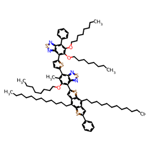 CCCCCCCCCCCCc1c2cc(-c3c(OCCCCCCCC)c(C)c(-c4ccc(-c5c(OCCCCCCCC)c(OCCCCCCCC)c(-c6ccccc6)c6nsnc56)s4)c4nsnc34)sc2c(CCCCCCCCCCCC)c2cc(-c3ccccc3)sc12